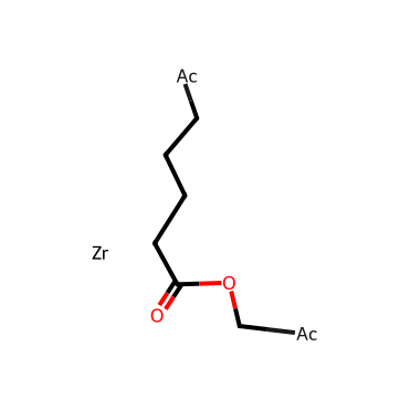 CC(=O)CCCCC(=O)OCC(C)=O.[Zr]